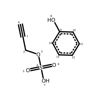 C#CCOS(=O)(=O)O.Oc1ccccc1